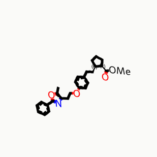 COC(=O)[C@@H]1CCC[C@@H]1CCc1ccc(OCCc2nc(-c3ccccc3)oc2C)cc1